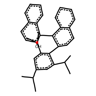 CC(C)c1cc(C(C)C)c(-c2ccc3ccccc3c2-c2c(O)ccc3ccccc23)c(C(C)C)c1